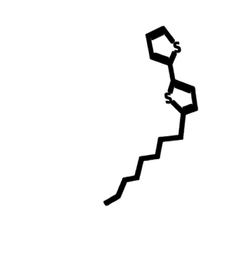 CCCCCCCCc1ccc(-c2cccs2)s1